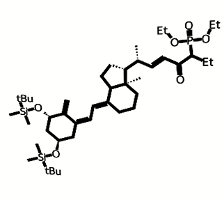 C=C1/C(=C\C=C2/CCC[C@@]3(C)C2CC[C@@H]3[C@H](C)/C=C/C(=O)C(CC)P(=O)(OCC)OCC)C[C@@H](O[Si](C)(C)C(C)(C)C)C[C@@H]1O[Si](C)(C)C(C)(C)C